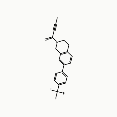 CC#CC(=O)N1CCc2ccc(-c3ccc(C(F)(F)F)cc3)cc2C1